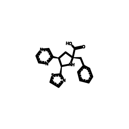 O=C(O)[C@@]1(Cc2ccccc2)C[C@H](c2cnccn2)[C@H](c2nccs2)N1